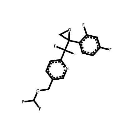 Fc1ccc(C2(C(F)(F)c3ccc(COC(F)F)cn3)CO2)c(F)c1